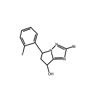 OC1CC(c2ccccc2F)n2nc(Br)nc21